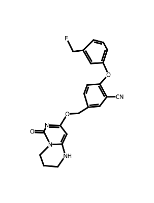 N#Cc1cc(COc2cc3n(c(=O)n2)CCCN3)ccc1Oc1cccc(CF)c1